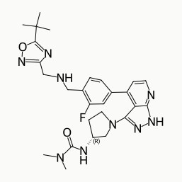 CN(C)C(=O)N[C@@H]1CCN(c2n[nH]c3nccc(-c4ccc(CNCc5noc(C(C)(C)C)n5)c(F)c4)c23)C1